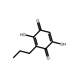 CCCC1=C(O)C(=O)C=C(O)C1=O